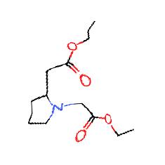 CCOC(=O)CC1CCCN1CC(=O)OCC